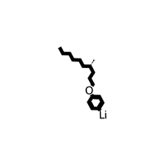 [Li][c]1ccc(OCCC[C@@H](C)CCCCCC)cc1